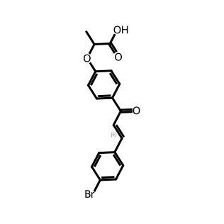 CC(Oc1ccc(C(=O)/C=C/c2ccc(Br)cc2)cc1)C(=O)O